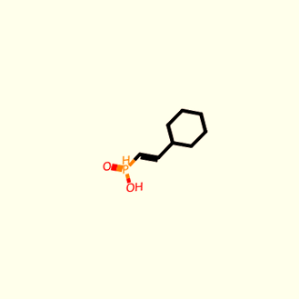 O=[PH](O)C=CC1CCCCC1